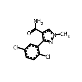 Cn1cc(C(N)=O)c(-c2cc(Cl)ccc2Cl)n1